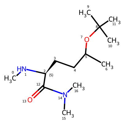 CN[C@@H](CCC(C)OC(C)(C)C)C(=O)N(C)C